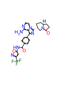 Nc1nccn2c([C@@H]3CC[C@H]4CCC(=O)N4C3)nc(-c3ccc(C(=O)Nc4cc(C(F)(F)F)no4)cc3)c12